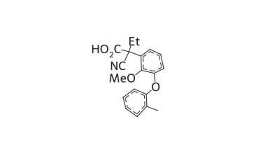 CCC(C#N)(C(=O)O)c1cccc(Oc2ccccc2C)c1OC